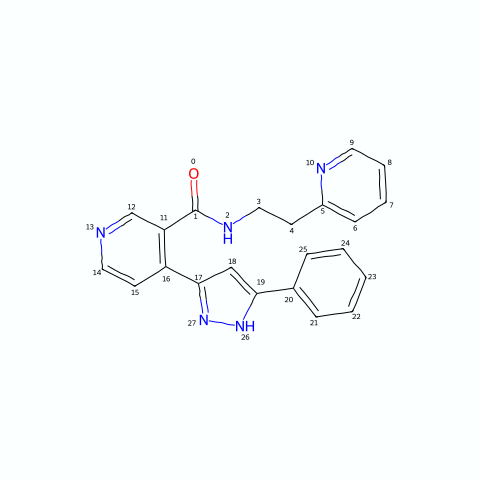 O=C(NCCc1ccccn1)c1cnccc1-c1cc(-c2ccccc2)[nH]n1